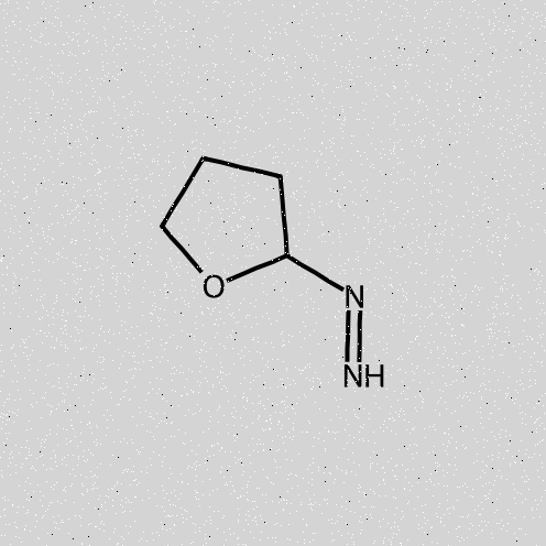 N=NC1CCCO1